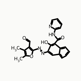 Cc1oc(/N=N/c2cc3ccccc3c(C(=O)Nc3ccccn3)c2O)c(C=O)c1C